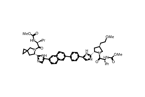 COCC[C@@H]1C[C@@H](c2ncc(-c3ccc(-c4ccc5cc(-c6cnc([C@@H]7CC8(CC8)CN7C(=O)[C@@H](NC(=O)OC)C(C)C)[nH]6)ccc5c4)cc3)[nH]2)N(C(=O)[C@@H](NC(=O)OC)C(C)C)C1